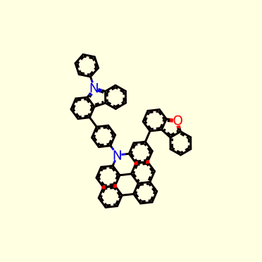 c1ccc(-c2cccc3cccc(-c4ccccc4N(c4ccc(-c5cccc6c5c5ccccc5n6-c5ccccc5)cc4)c4cccc(-c5cccc6oc7ccccc7c56)c4)c23)cc1